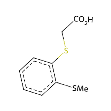 CSc1ccccc1SCC(=O)O